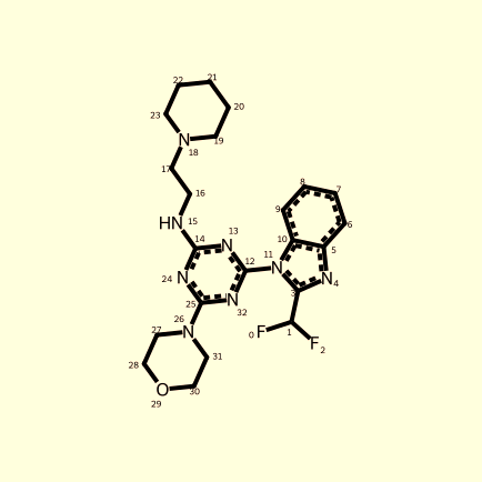 FC(F)c1nc2ccccc2n1-c1nc(NCCN2CCCCC2)nc(N2CCOCC2)n1